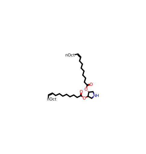 CCCCCCCC/C=C\CCCCCCCC(=O)OC1CNC[C@H]1OC(=O)CCCCCCC/C=C\CCCCCCCC